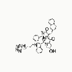 CN(Cc1ccccc1)C(=O)C(Cc1ccc2ccccc2c1)NC(=O)C1CC(O)CN1C(=O)c1cn(CCCCc2nnn[nH]2)c2ccccc12